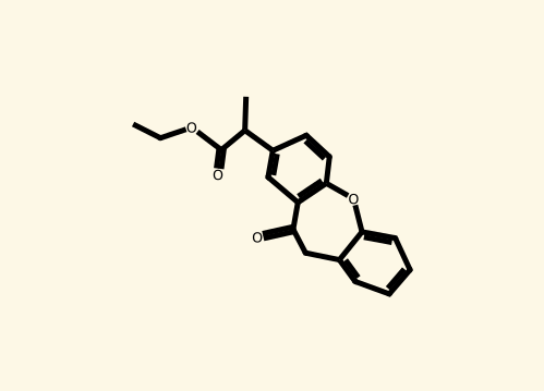 CCOC(=O)C(C)c1ccc2c(c1)C(=O)Cc1ccccc1O2